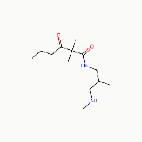 CCCC(=O)C(C)(C)C(=O)NCC(C)CNC